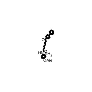 COc1ccc(NC(=O)CCCCCCC(=O)c2ccc(-c3ccccc3)cc2)c(N)c1